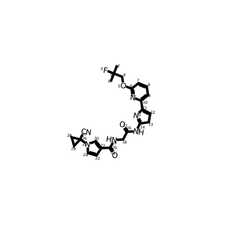 CC(C)(F)COc1cccc(C2=CCC(NC(=O)CNC(=O)c3ccn(C4(C#N)CC4)c3)=N2)n1